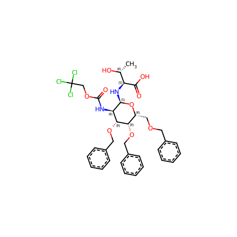 C[C@@H](O)[C@H](N[C@H]1O[C@H](COCc2ccccc2)[C@H](OCc2ccccc2)[C@H](OCc2ccccc2)[C@H]1NC(=O)OCC(Cl)(Cl)Cl)C(=O)O